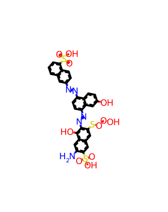 Nc1cc2c(O)c(N=Nc3ccc(N=Nc4ccc5c(S(=O)(=O)O)cccc5c4)c4ccc(O)cc34)c(SOOO)cc2cc1S(=O)(=O)O